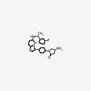 C[C@@H](Nc1ccc2ncc(-c3ccc(N4C[C@@H](N)CC4=O)cc3)n2n1)c1cccc(F)c1